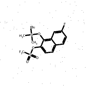 CC(C)(C)[Si](C)(C)Oc1c(OS(=O)(=O)C(F)(F)F)ccc2ccc(F)cc12